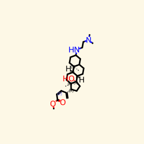 C=C(/C=C\C(=O)OC)[C@H]1CC[C@]2(O)[C@@H]3CCC4CC(NCCN(C)C)CC[C@]4(C)[C@H]3CC[C@]12C